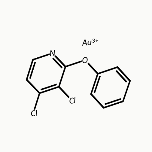 Clc1ccnc(Oc2ccccc2)c1Cl.[Au+3]